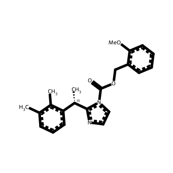 COc1ccccc1COC(=O)n1ccnc1[C@@H](C)c1cccc(C)c1C